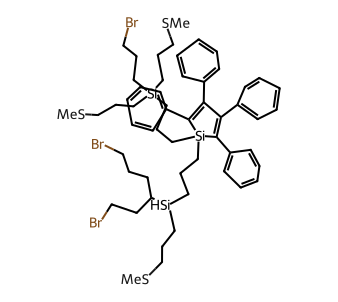 CSCCC[SiH](CCC[Si]1(CCC[Si](CCCBr)(CCCSC)CCCSC)C(c2ccccc2)=C(c2ccccc2)C(c2ccccc2)=C1c1ccccc1)C(CCBr)CCCBr